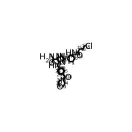 NC(=O)c1nnc(N2CCC[C@@H](NC(=O)CCCCl)C2)nc1Nc1ccc(C(=O)N2CCOCC2)cc1